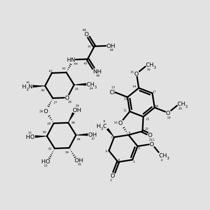 COC1=CC(=O)C[C@@H](C)[C@]12Oc1c(Cl)c(OC)cc(OC)c1C2=O.C[C@H]1O[C@H](O[C@H]2[C@H](O)[C@@H](O)[C@@H](O)[C@H](O)[C@@H]2O)[C@@H](N)C[C@@H]1NC(=N)C(=O)O